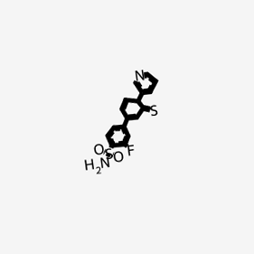 NS(=O)(=O)c1ccc(C2=CC(=S)C(c3cccnc3)C=C2)cc1F